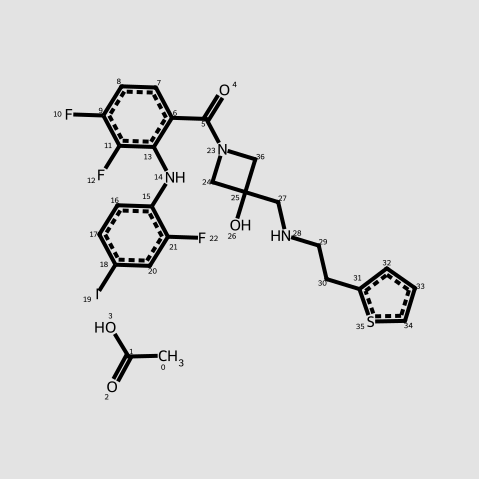 CC(=O)O.O=C(c1ccc(F)c(F)c1Nc1ccc(I)cc1F)N1CC(O)(CNCCc2cccs2)C1